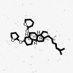 CC(C)=CCC[C@@H](C)[C@H]1CC[C@H]2[C@@H]3C[C@H](OC4CCCCO4)[C@@H]4C[C@H](OC5CCCCO5)CC[C@]4(C)[C@H]3CC[C@]12C